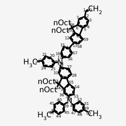 C=Cc1ccc2c(c1)C(CCCCCCCC)(CCCCCCCC)c1cc(-c3ccc(N(c4ccc(C)cc4)c4ccc5c(c4)C(CCCCCCCC)(CCCCCCCC)c4cc(N(c6ccc(C)cc6)c6ccc(C)cc6)ccc4-5)cc3)ccc1-2